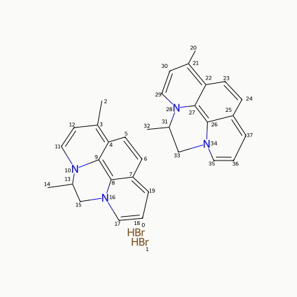 Br.Br.CC1=c2ccc3c4c2N(C=C1)C(C)CN4C=CC=3.CC1=c2ccc3c4c2N(C=C1)C(C)CN4C=CC=3